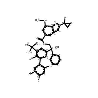 COc1cc(C(=O)NC[C@@](O)(c2ccccc2)c2cc(C(C)(C)O)c(F)c(-c3cc(Cl)c(F)cc3F)n2)cc2cn(C3(F)CC3)nc12